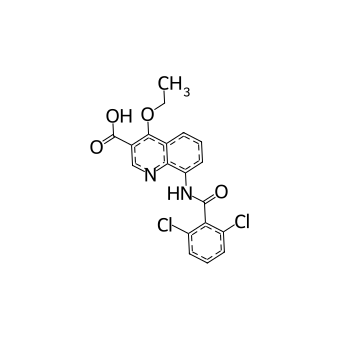 CCOc1c(C(=O)O)cnc2c(NC(=O)c3c(Cl)cccc3Cl)cccc12